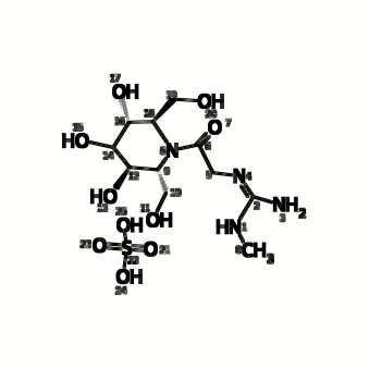 CNC(N)=NCC(=O)N1[C@H](CO)[C@@H](O)C(O)[C@H](O)[C@H]1CO.O=S(=O)(O)O